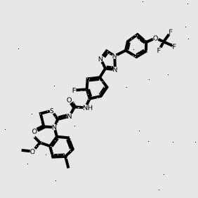 COC(C)c1cc(C)ccc1N1C(=O)CSC1=NC(=O)Nc1ccc(-c2ncn(-c3ccc(OC(F)(F)F)cc3)n2)cc1F